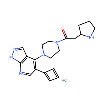 Cl.O=C(CC1CCCN1)N1CCN(c2c(C3=CC=C3)cnc3[nH]ncc23)CC1